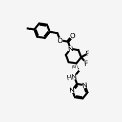 Cc1ccc(COC(=O)N2CC[C@@H](CNc3ncccn3)C(F)(F)C2)cc1